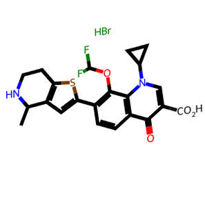 Br.CC1NCCc2sc(-c3ccc4c(=O)c(C(=O)O)cn(C5CC5)c4c3OC(F)F)cc21